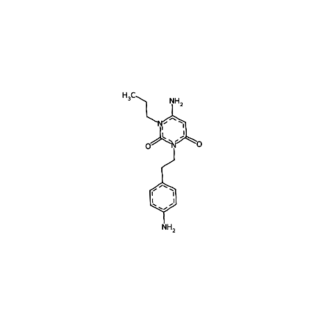 CCCn1c(N)cc(=O)n(CCc2ccc(N)cc2)c1=O